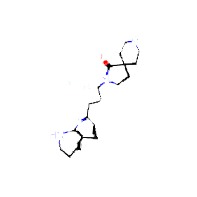 Cl.Cl.O=C1N(CCCc2ccc3c(n2)NCCC3)CCC12CCNCC2